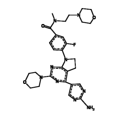 CN(CCN1CCOCC1)C(=O)c1ccc(N2CCc3c(-c4cnc(N)nc4)nc(N4CCOCC4)nc32)c(F)c1